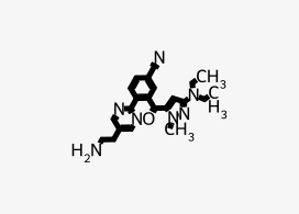 CCN(CC)c1cc(C(=O)c2cc(C#N)ccc2-c2ncc(CCN)cn2)n(C)n1